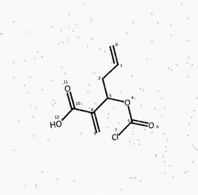 C=CCC(OC(=O)Cl)C(=C)C(=O)O